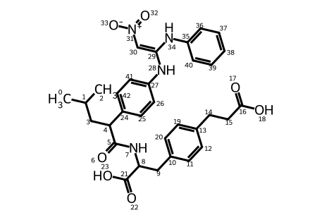 CC(C)CC(C(=O)NC(Cc1ccc(CCC(=O)O)cc1)C(=O)O)c1ccc(NC(=C[N+](=O)[O-])Nc2ccccc2)cc1